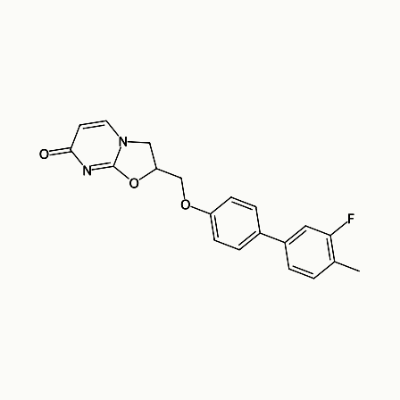 Cc1ccc(-c2ccc(OCC3Cn4ccc(=O)nc4O3)cc2)cc1F